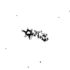 Cc1ccc(N=CN(C)SN2CCOCC2)c(C)c1